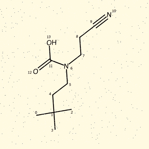 CC(C)(C)CCN(CCC#N)C(=O)O